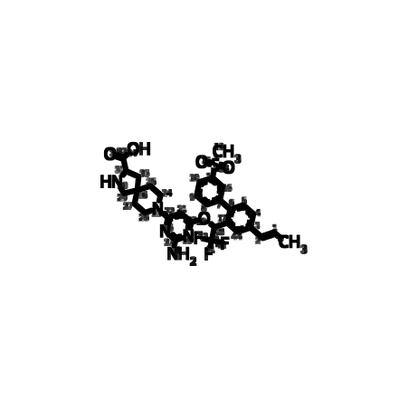 C/C=C/c1ccc(-c2cccc(S(C)(=O)=O)c2)c(C(Oc2cc(N3CCC4(CC3)CNC(C(=O)O)C4)nc(N)n2)C(F)(F)F)c1